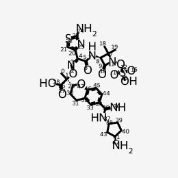 CC(O/N=C(\C(=O)N[C@@H]1C(=O)N(OS(=O)(=O)O)C1(C)C)c1csc(N)n1)(C(=O)O)[C@H]1CCc2cc(C(=N)N[C@@H]3CC[C@@H](N)C3)ccc2O1